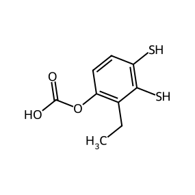 CCc1c(OC(=O)O)ccc(S)c1S